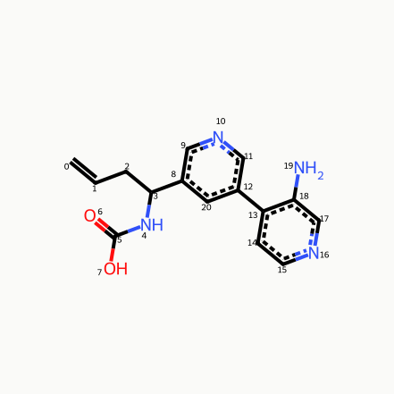 C=CCC(NC(=O)O)c1cncc(-c2ccncc2N)c1